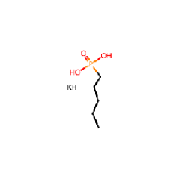 CCCCCP(=O)(O)O.[KH]